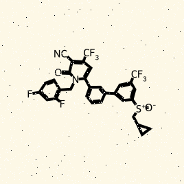 N#Cc1c(C(F)(F)F)cc(-c2cccc(-c3cc([S+]([O-])CC4CC4)cc(C(F)(F)F)c3)c2)n(Cc2ccc(F)cc2F)c1=O